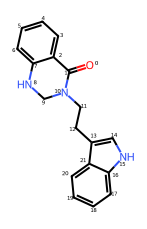 O=C1c2ccccc2NCN1CCc1c[nH]c2ccccc12